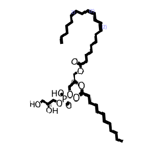 CCCCC/C=C\C/C=C\C/C=C\CCCCCCC(=O)OC[C@H](COP(=O)(O)OC[C@@H](O)CO)OC(=O)CCCCCCCCCCC